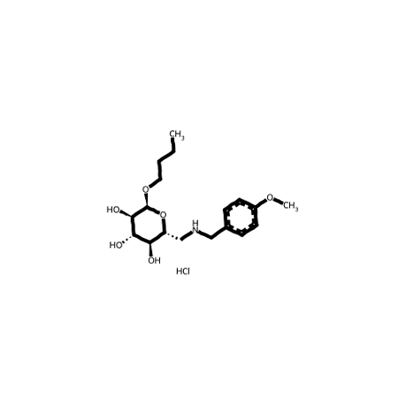 CCCCO[C@H]1O[C@H](CNCc2ccc(OC)cc2)[C@@H](O)[C@H](O)[C@H]1O.Cl